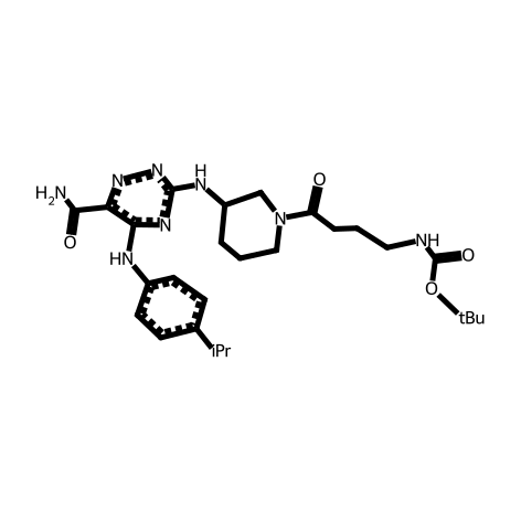 CC(C)c1ccc(Nc2nc(NC3CCCN(C(=O)CCCNC(=O)OC(C)(C)C)C3)nnc2C(N)=O)cc1